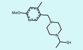 COc1cc(C)c(CN2CCN(C(C)S)CC2)cn1